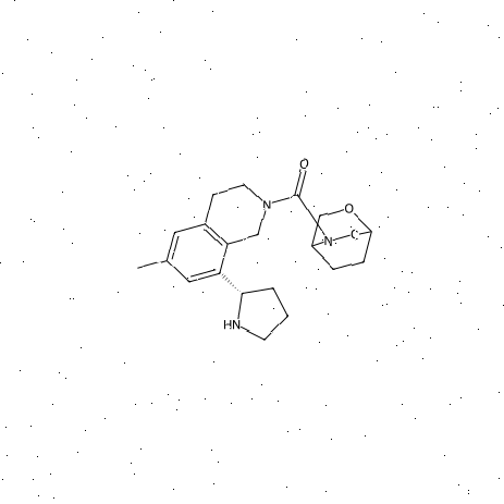 Cc1cc2c(c([C@@H]3CCCN3)c1)CN(C(=O)N1CC3CCC1CO3)CC2